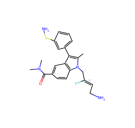 Cc1c(-c2cccc(SN)c2)c2cc(C(=O)N(C)C)ccc2n1C/C(F)=C/CN